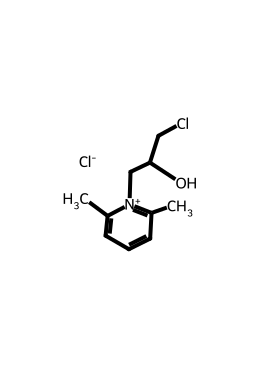 Cc1cccc(C)[n+]1CC(O)CCl.[Cl-]